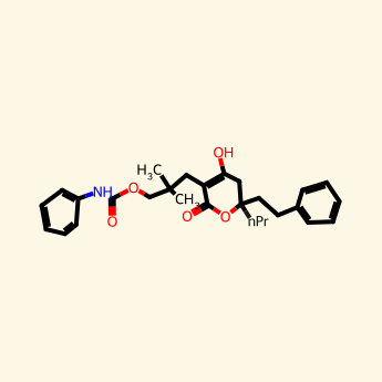 CCCC1(CCc2ccccc2)CC(O)=C(CC(C)(C)COC(=O)Nc2ccccc2)C(=O)O1